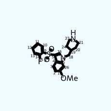 COc1ccc2c(S(=O)(=O)c3ccccc3F)cn(CC3CCNCC3)c2c1